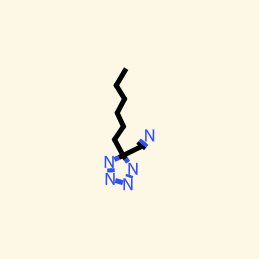 CCCCCCC1(C#N)N=NN=N1